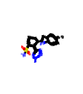 N#Cc1ccc2[nH]c(-c3cccc(S(N)(=O)=O)c3-c3nn[nH]n3)cc2c1